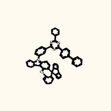 c1ccc(-c2ccc(-c3nc(-c4ccccc4)nc(-c4cccc(-n5c6ccccc6c6c7c(ccc65)C5(c6ccccc6O7)c6ccccc6-c6ccccc65)c4)n3)cc2)cc1